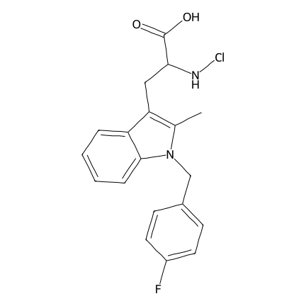 Cc1c(CC(NCl)C(=O)O)c2ccccc2n1Cc1ccc(F)cc1